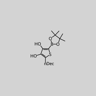 CCCCCCCCCCc1sc(B2OC(C)(C)C(C)(C)O2)c(O)c1O